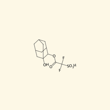 O=C(OC1C2CC3CC(C2)CC1(O)C3)C(F)(F)S(=O)(=O)O